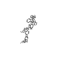 CCN[C@@H]1CCN(c2ccc(Nc3ncc(Cl)c(Nc4ccccc4S(=O)(=O)N(C)C)n3)c(OCC)c2)C1